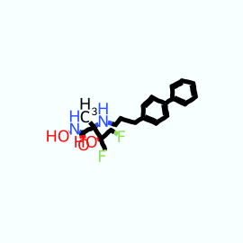 CC(NCCCc1ccc(-c2ccccc2)cc1)(C(=O)NO)C(O)(CF)CF